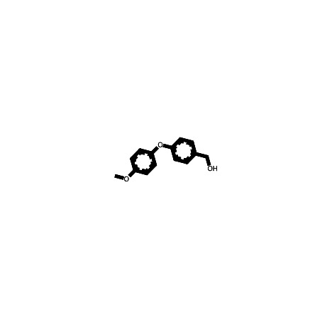 COc1ccc(Oc2ccc(CO)cc2)cc1